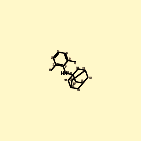 Cc1cccc(C)c1NC12CC3CC(CC(C3)C1)C2